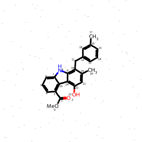 COC(=O)c1cccc2[nH]c3c(Cc4cccc(C)c4)c(C)cc(O)c3c12